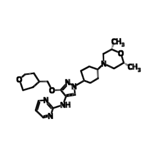 C[C@@H]1CN(C2CCC(n3cc(Nc4ncccn4)c(OCC4CCOCC4)n3)CC2)C[C@H](C)O1